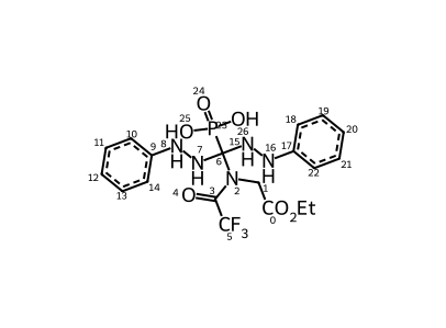 CCOC(=O)CN(C(=O)C(F)(F)F)C(NNc1ccccc1)(NNc1ccccc1)P(=O)(O)O